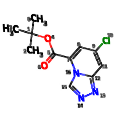 CC(C)(C)OC(=O)c1cc(Cl)cc2nncn12